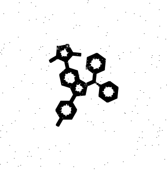 Cc1ccc(-c2cn([C@@H](c3ccccc3)c3ccccn3)c3cc(-c4c(C)noc4C)ccc23)cc1